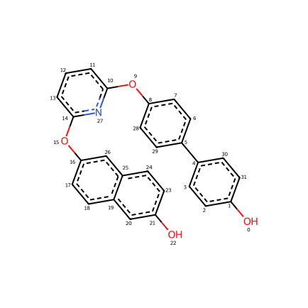 Oc1ccc(-c2ccc(Oc3cccc(Oc4ccc5cc(O)ccc5c4)n3)cc2)cc1